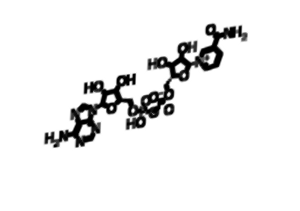 NC(=O)c1ccc[n+]([C@@H]2O[C@H](COP(=O)([O-])OP(=O)(O)OC[C@H]3O[C@@H](n4cnc5c(N)ncnc54)C(O)C3O)C(O)C2O)c1